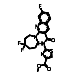 COC(=O)c1csc(NC(=O)c2cc3ccc(F)cc3nc2N2CCCC(F)(F)CC2)n1